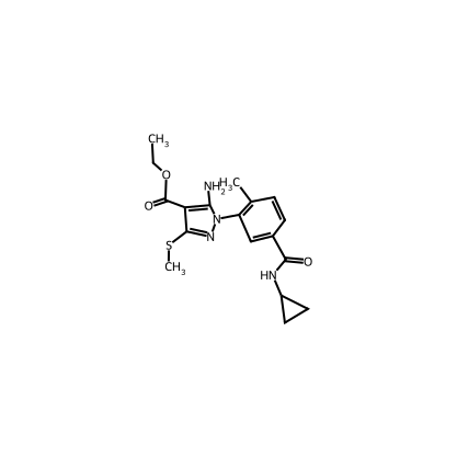 CCOC(=O)c1c(SC)nn(-c2cc(C(=O)NC3CC3)ccc2C)c1N